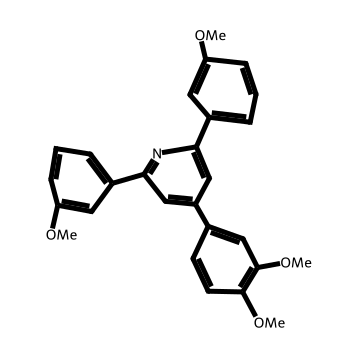 COc1cccc(-c2cc(-c3ccc(OC)c(OC)c3)cc(-c3cccc(OC)c3)n2)c1